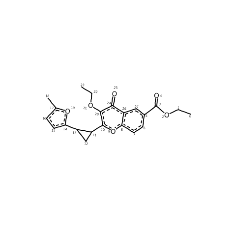 CCOC(=O)c1ccc2oc(C3CC3c3ccc(C)o3)c(OCC)c(=O)c2c1